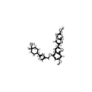 COc1cc(OCc2csc(C3CCC(C)(P)CC3)n2)c2cc(-c3cn4nc(OC)sc4n3)oc2c1